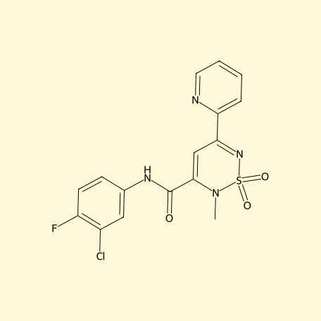 CN1C(C(=O)Nc2ccc(F)c(Cl)c2)=CC(c2ccccn2)=NS1(=O)=O